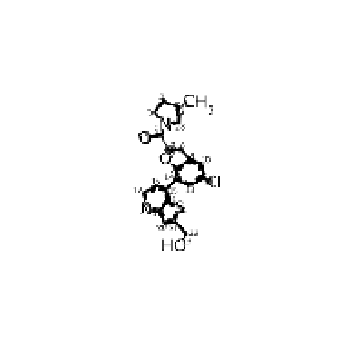 C[C@H]1CCN(C(=O)[C@H]2Cc3cc(Cl)cc(-c4ccnc5cc(CO)sc45)c3O2)C1